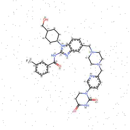 O=C1CCN(c2ccc(CN3CCN(Cc4ccc5c(c4)nc(NC(=O)c4cccc(C(F)(F)F)c4)n5C4CCC(CO)CC4)CC3)nc2)C(=O)N1